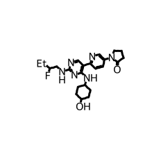 CCC(F)CNc1ncc(-c2ccc(N3CCCC3=O)cn2)c(NC2CCC(O)CC2)n1